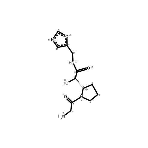 NCC(=O)N1CCC[C@H]1C(O)C(=O)NCc1cnco1